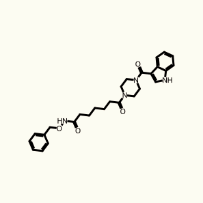 O=C(CCCCCC(=O)N1CCN(C(=O)c2c[nH]c3ccccc23)CC1)NOCc1ccccc1